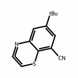 CC(C)(C)c1cc(C#N)c2c(c1)N=C=CS2